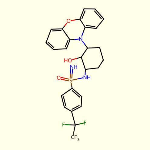 N=S(=O)(NC1CCCC(N2c3ccccc3Oc3ccccc32)C1O)c1ccc(C(F)(F)C(F)(F)F)cc1